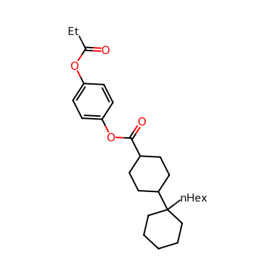 CCCCCCC1(C2CCC(C(=O)Oc3ccc(OC(=O)CC)cc3)CC2)CCCCC1